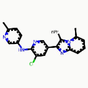 CCCc1c(-c2cnc(Nc3ccc(C)nc3)c(Cl)c2)nc2cccc(C)n12